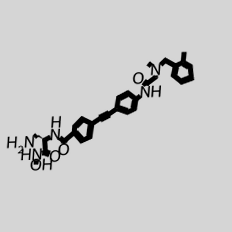 Cc1ccccc1CN(C)CC(=O)Nc1ccc(C#Cc2ccc(C(=O)N[C@@H](CN)C(=O)NO)cc2)cc1